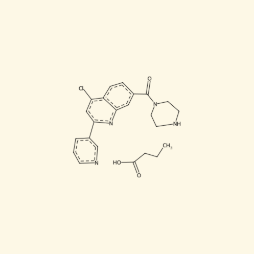 CCCC(=O)O.O=C(c1ccc2c(Cl)cc(-c3cccnc3)nc2c1)N1CCNCC1